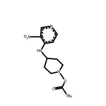 CC(C)(C)C(=O)ON1CCC(Nc2ccncc2[N+](=O)[O-])CC1